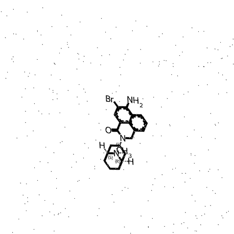 CN1[C@@H]2CCC[C@H]1C[C@H](N1Cc3cccc4c(N)c(Br)cc(c34)C1=O)C2